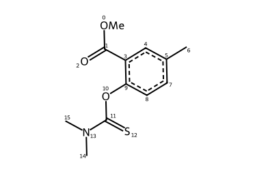 COC(=O)c1cc(C)ccc1OC(=S)N(C)C